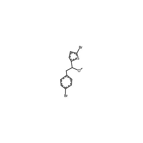 COC(Cc1ccc(Br)cc1)c1ccc(Br)s1